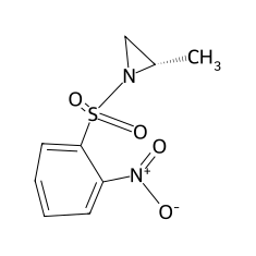 C[C@H]1CN1S(=O)(=O)c1ccccc1[N+](=O)[O-]